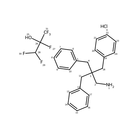 Cl.NCC(Cc1ccccc1)(Cc1ccccc1)Cc1ccccc1.OC(F)(C(F)F)C(F)(F)F